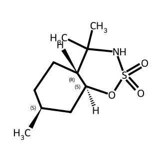 C[C@H]1CC[C@H]2[C@H](C1)OS(=O)(=O)NC2(C)C